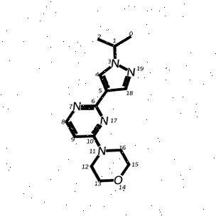 CC(C)n1cc(-c2nccc(N3CCOCC3)n2)cn1